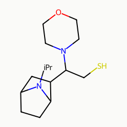 CC(C)N1C2CCC1C(C(CS)N1CCOCC1)C2